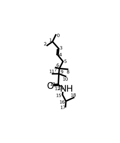 CC(C)/C=C/CC(C)(C)C(C)(C)C(=O)NCC(C)C